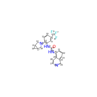 O=C(Nc1cc(C(F)(F)F)ccc1N1CC2CC2C1)Nc1cccc2cnccc12